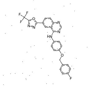 Fc1ccc(COc2ccc(Nc3ncnc4ccc(-c5nnc(C(F)(F)F)o5)cc34)cc2)cc1